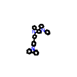 c1ccc(-n2c3ccccc3c3c4c(ccc32)c(-c2ccc(-c3ccc(-n5c6ccccc6c6ccccc65)cc3)cc2)nc2ccccc24)cc1